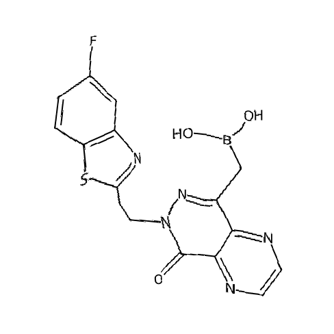 O=c1c2nccnc2c(CB(O)O)nn1Cc1nc2cc(F)ccc2s1